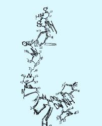 Nc1ncc(-c2cnn(C3CCN(CCC4CCN(C(=O)c5cccc(C(=O)NC6CCC(=O)NC6=O)c5)CC4)CC3)c2)nc1C(=O)O[C@@H](C(=O)Nc1ccc(F)cc1)c1ccccc1